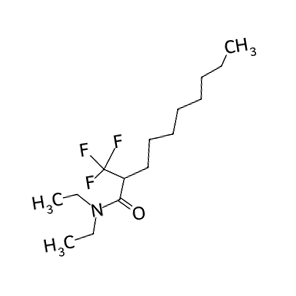 CCCCCCCCC(C(=O)N(CC)CC)C(F)(F)F